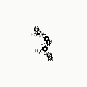 Cc1cc(Nc2ncnc3ccc(NC(=O)OC[C@@H]4COCCN4C(=O)O)cc23)ccc1Oc1cc2nncn2cn1